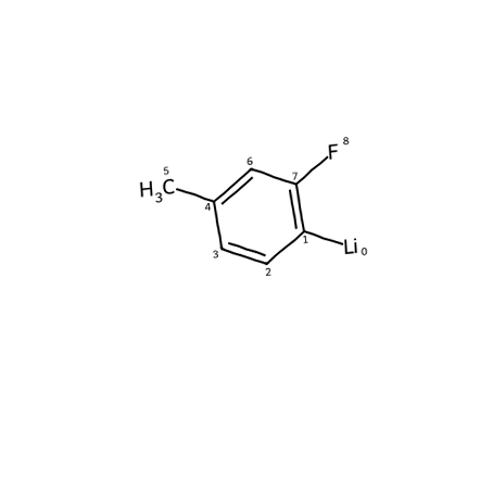 [Li][c]1ccc(C)cc1F